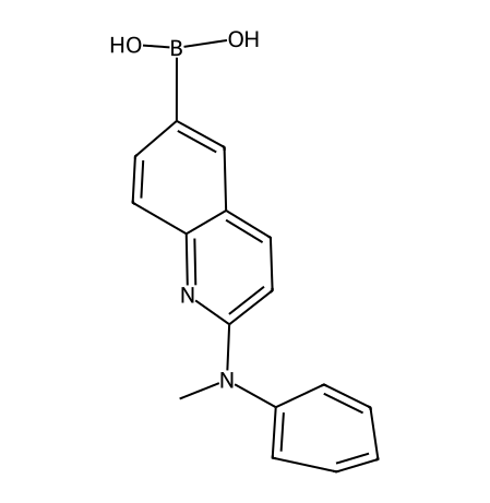 CN(c1ccccc1)c1ccc2cc(B(O)O)ccc2n1